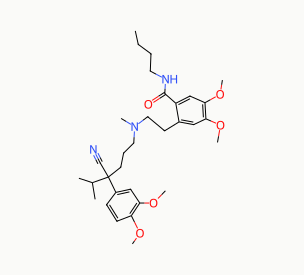 CCCCNC(=O)c1cc(OC)c(OC)cc1CCN(C)CCCC(C#N)(c1ccc(OC)c(OC)c1)C(C)C